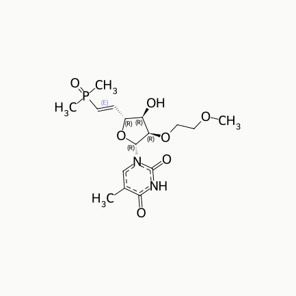 COCCO[C@@H]1[C@H](O)[C@@H](/C=C/P(C)(C)=O)O[C@H]1n1cc(C)c(=O)[nH]c1=O